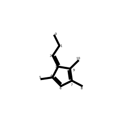 CCC=C1C(C)=CC(C)=C1C